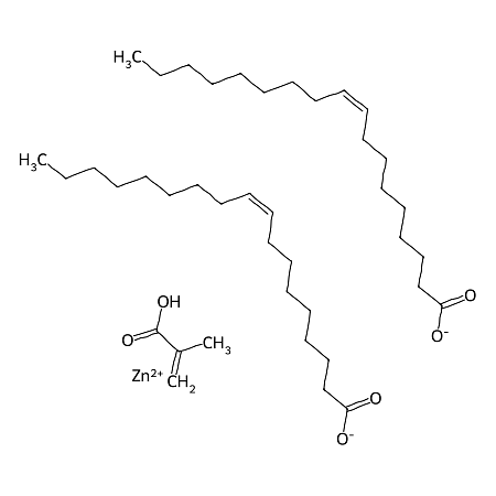 C=C(C)C(=O)O.CCCCCCCC/C=C\CCCCCCCC(=O)[O-].CCCCCCCC/C=C\CCCCCCCC(=O)[O-].[Zn+2]